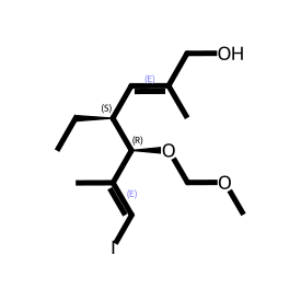 CC[C@@H](/C=C(\C)CO)[C@@H](OCOC)/C(C)=C/I